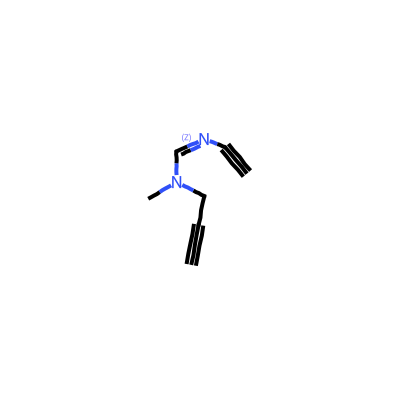 C#CCN(C)/C=N\C#C